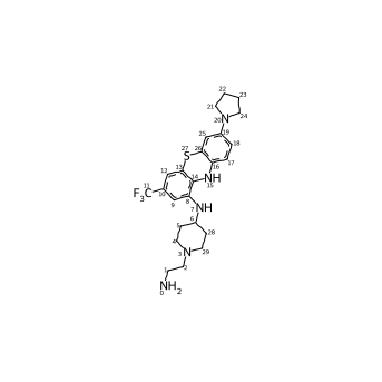 NCCN1CCC(Nc2cc(C(F)(F)F)cc3c2Nc2ccc(N4CCCC4)cc2S3)CC1